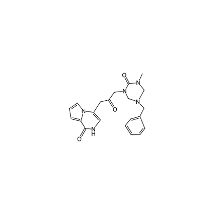 CN1CN(Cc2ccccc2)CN(CC(=O)Cc2c[nH]c(=O)c3cccn23)C1=O